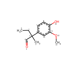 CCC(C)(C=O)c1ccc(O)c(OC)c1